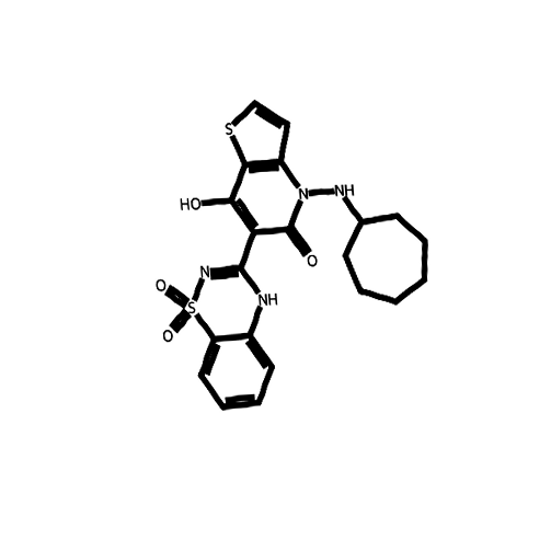 O=c1c(C2=NS(=O)(=O)c3ccccc3N2)c(O)c2sccc2n1NC1CCCCCC1